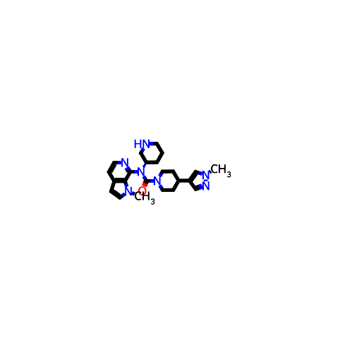 Cn1cc(C2CCN(C(=O)N(c3nccc4ccn(C)c34)[C@@H]3CCCNC3)CC2)cn1